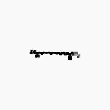 CC(=O)C(CCCCCCCCCCCCCC(N)=O)C(C)=O